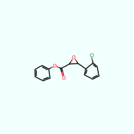 O=C(Oc1ccccc1)C1OC1c1ccccc1Cl